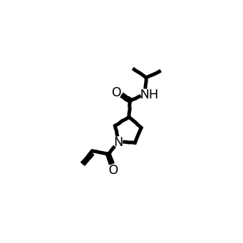 C=CC(=O)N1CCC(C(=O)NC(C)C)C1